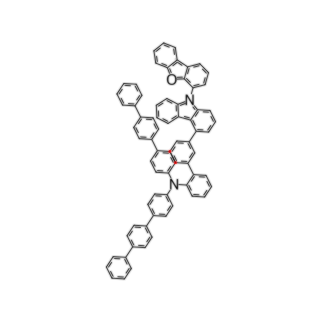 c1ccc(-c2ccc(-c3ccc(N(c4ccc(-c5ccc(-c6ccccc6)cc5)cc4)c4ccccc4-c4cccc(-c5cccc6c5c5ccccc5n6-c5cccc6c5oc5ccccc56)c4)cc3)cc2)cc1